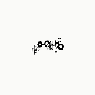 Cc1c(C(=N)/N=c2/ccc(-c3cccc(OC(F)(F)F)c3)c[nH]2)[nH]c2ccccc2c1=O